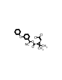 CC1(C)[C@H](C=C(Cl)Cl)[C@@H]1C(=O)OC(C#N)c1cccc(Oc2ccccc2)c1